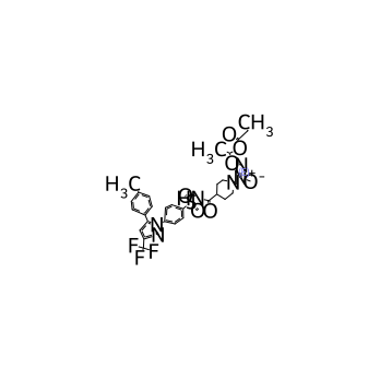 CCC(=O)OC(C)O/N=[N+](/[O-])N1CCC(C(=O)NS(=O)(=O)c2ccc(-n3nc(C(F)(F)F)cc3-c3ccc(C)cc3)cc2)CC1